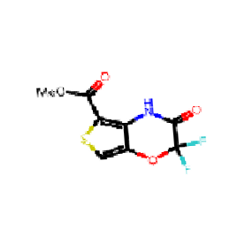 COC(=O)c1scc2c1NC(=O)C(F)(F)O2